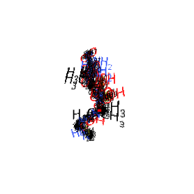 Cc1c(-c2ccc(N3CCc4cccc(C(=O)Nc5nc6ccccc6s5)c4C3)nc2C(=O)O)cnn1CC12CC3(C)CC(C)(C1)CC(OCCN(CCN(CCS(=O)(=O)O)C(=O)OCc1ccc(N(C(=O)[C@@H](NC(=O)CCCCCN4C(=O)C=CC4=O)C(C)C)[C@@H](CCCNC(N)=O)C(N)=O)cc1)CCS(=O)(=O)O)(C3)C2